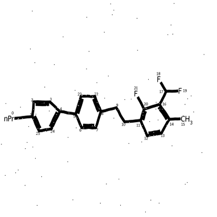 CCCc1ccc(-c2ccc(CCc3ccc(C)c(C(F)F)c3F)cc2)cc1